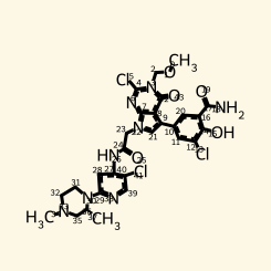 COCn1c(Cl)nc2c(c(-c3cc(Cl)c(O)c(C(N)=O)c3)cn2CC(=O)Nc2cc(N3CCN(C)C[C@@H]3C)ncc2Cl)c1=O